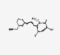 C#CCN1CCCC(CCc2c(Br)cc(Br)c(I)c2C(=O)O)C1